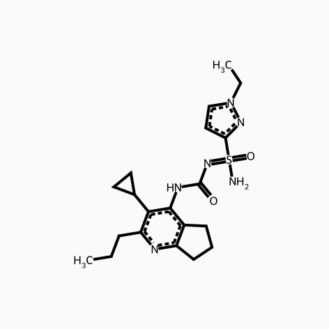 CCCc1nc2c(c(NC(=O)N=S(N)(=O)c3ccn(CC)n3)c1C1CC1)CCC2